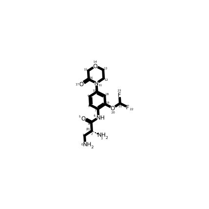 NC[C@@H](N)C(=O)Nc1ccc(N2CCOCC2=O)cc1OC(F)F